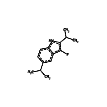 CC(C)c1ccc2[nH]c(C(C)C)c(F)c2c1